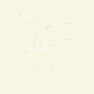 CSN1CC(=O)c2c(Nc3ccccc3)c(C3C=CN=C(C)N3)n(N)c2C1